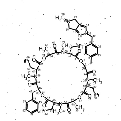 CC(C)C[C@H]1C(=O)O[C@H](Cc2ccc(Cn3cc4c(n3)CN(C)C4)cc2)C(=O)N(C)[C@@H](CC(C)C)C(=O)O[C@H](C)C(=O)N(C)[C@@H](CC(C)C)C(=O)O[C@H](Cc2ccccc2)C(=O)N(C)[C@@H](CC(C)C)C(=O)O[C@H](C)C(=O)N1C